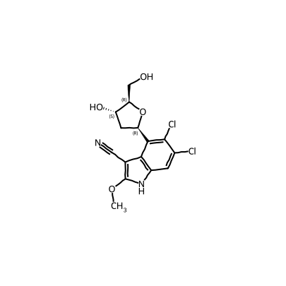 COc1[nH]c2cc(Cl)c(Cl)c([C@H]3C[C@H](O)[C@@H](CO)O3)c2c1C#N